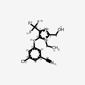 CCn1c(CO)nc(C(F)(F)F)c1Sc1cc(Cl)cc(C#N)c1